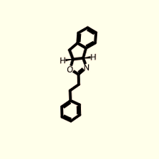 c1ccc(CCC2=N[C@H]3c4ccccc4C[C@H]3O2)cc1